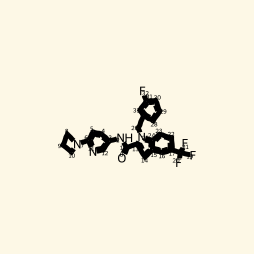 O=C(Nc1ccc(N2CCC2)nc1)c1cc2cc(C(F)(F)F)ccc2n1Cc1cccc(F)c1